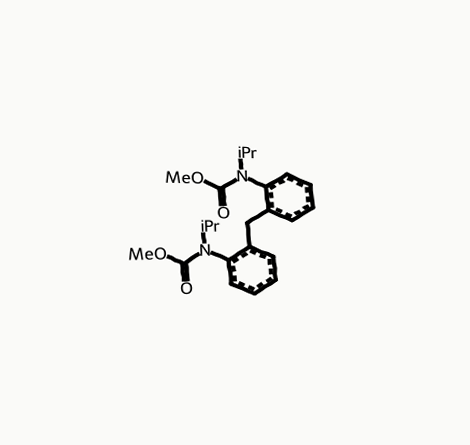 COC(=O)N(c1ccccc1Cc1ccccc1N(C(=O)OC)C(C)C)C(C)C